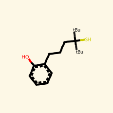 CC(C)(C)C(S)(CCCc1ccccc1O)C(C)(C)C